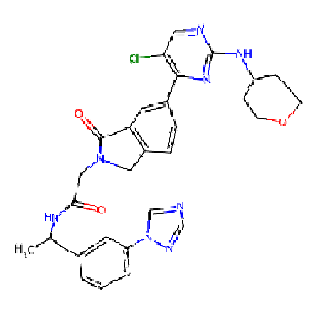 CC(NC(=O)CN1Cc2ccc(-c3nc(NC4CCOCC4)ncc3Cl)cc2C1=O)c1cccc(-n2cncn2)c1